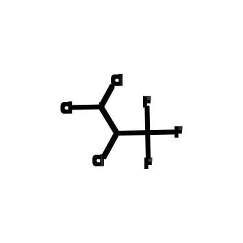 FC(F)(F)C(Cl)[C](Cl)Cl